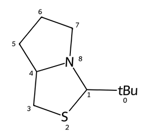 CC(C)(C)C1SCC2CCCN21